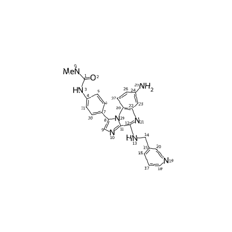 CNC(=O)Nc1ccc(-c2cnc3c(NCc4cccnc4)nc4cc(N)ccc4n23)cc1